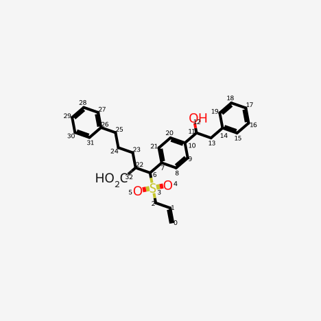 C=CCS(=O)(=O)C(c1ccc(C(O)Cc2ccccc2)cc1)C(CCCc1ccccc1)C(=O)O